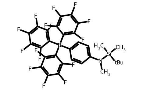 CN(c1ccc([B-](c2c(F)c(F)c(F)c(F)c2F)(c2c(F)c(F)c(F)c(F)c2F)c2c(F)c(F)c(F)c(F)c2F)cc1)[Si](C)(C)C(C)(C)C